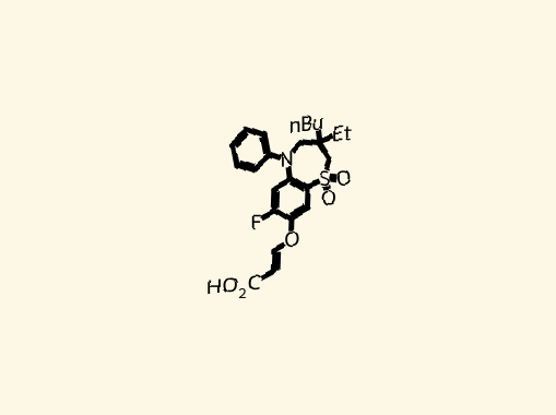 CCCCC1(CC)CN(c2ccccc2)c2cc(F)c(O/C=C/C(=O)O)cc2S(=O)(=O)C1